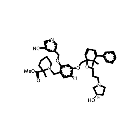 COC(=O)C1(C)CCCCN1Cc1cc(Cl)c(OCC2(OCCCN3CC[C@@H](O)C3)C=CC=C(c3ccccc3)C2(C)C)cc1OCc1cncc(C#N)c1